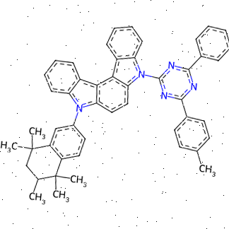 Cc1ccc(-c2nc(-c3ccccc3)nc(-n3c4ccccc4c4c5c6ccccc6n(-c6ccc7c(c6)C(C)(C)CC(C)C7(C)C)c5ccc43)n2)cc1